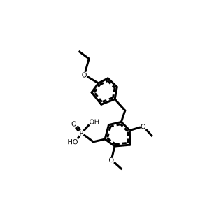 CCOc1ccc(Cc2cc(CP(=O)(O)O)c(OC)cc2OC)cc1